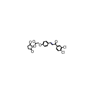 O=C(COc1ccc(/C=C/C(=O)c2ccc(Cl)c(Cl)c2)cc1)ON1C(=O)CCC1=O